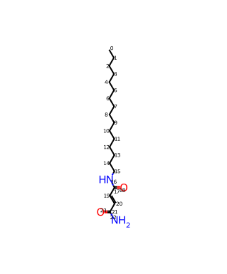 CCCCCCCCCCCCCCCCNC(=O)C=CC(N)=O